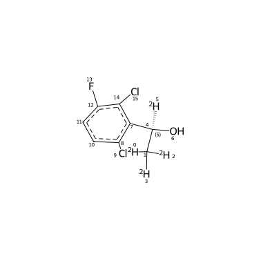 [2H]C([2H])([2H])[C@]([2H])(O)c1c(Cl)ccc(F)c1Cl